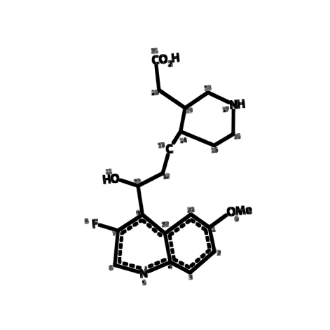 COc1ccc2ncc(F)c(C(O)CCC3CCNCC3CC(=O)O)c2c1